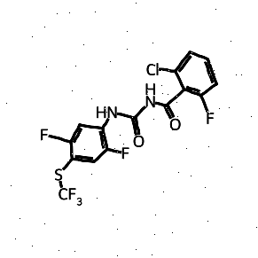 O=C(NC(=O)c1c(F)cccc1Cl)Nc1cc(F)c(SC(F)(F)F)cc1F